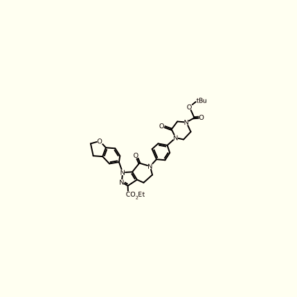 CCOC(=O)c1nn(-c2ccc3c(c2)CCO3)c2c1CCN(c1ccc(N3CCN(C(=O)OC(C)(C)C)CC3=O)cc1)C2=O